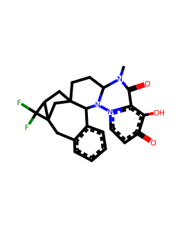 CN1C(=O)c2c(O)c(=O)ccn2N2C1CCC13CC4C(F)(F)C4(Cc4ccccc4C21)C3